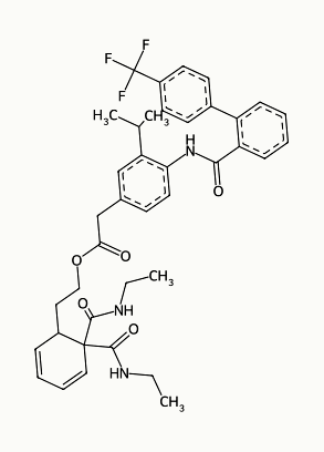 CCNC(=O)C1(C(=O)NCC)C=CC=CC1CCOC(=O)Cc1ccc(NC(=O)c2ccccc2-c2ccc(C(F)(F)F)cc2)c(C(C)C)c1